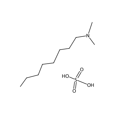 CCCCCCCCN(C)C.O=S(=O)(O)O